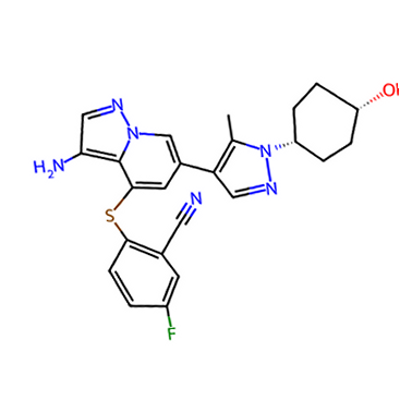 Cc1c(-c2cc(Sc3ccc(F)cc3C#N)c3c(N)cnn3c2)cnn1[C@H]1CC[C@@H](O)CC1